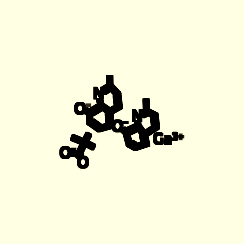 CC(C)(C)C(=O)[O-].Cc1ccc2cccc([O-])c2n1.Cc1ccc2cccc([O-])c2n1.[Ga+3]